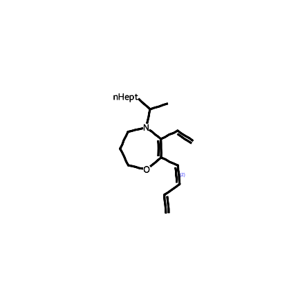 C=C/C=C\C1=C(C=C)N(C(C)CCCCCCC)CCCO1